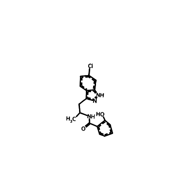 CC(Cc1n[nH]c2cc(Cl)ccc12)NC(=O)c1ccccc1O